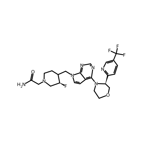 NC(=O)CN1CCC(Cn2ccc3c(N4CCOC[C@@H]4c4ccc(C(F)(F)F)cn4)ncnc32)[C@@H](F)C1